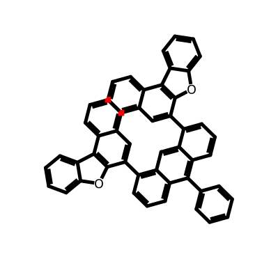 c1ccc(-c2c3cccc(-c4cc5ccccc5c5c4oc4ccccc45)c3cc3c(-c4cc5ccccc5c5c4oc4ccccc45)cccc23)cc1